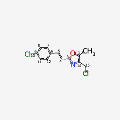 Cc1oc(C=Cc2ccc(Cl)cc2)nc1CCl